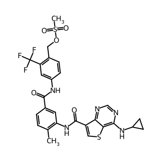 Cc1ccc(C(=O)Nc2ccc(COS(C)(=O)=O)c(C(F)(F)F)c2)cc1NC(=O)c1csc2c(NC3CC3)ncnc12